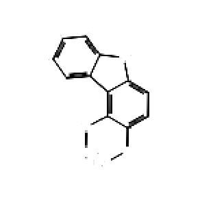 COc1ccc2oc3ccccc3c2c1OC